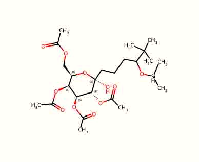 CC(=O)OC[C@H]1O[C@@](O)(CCCC(O[SiH](C)C)C(C)(C)C)[C@H](OC(C)=O)[C@@H](OC(C)=O)[C@H]1OC(C)=O